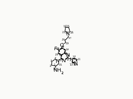 NC1CCCN(c2nc(-n3ccnc3)nc3cc(OCCCN4CCCC4)c(F)cc23)C1